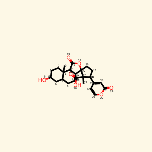 CC12CCC(O)CC1CCC1C2C(=O)OC12CCC(c1ccoc(=O)c1)C2(C)C(=O)O